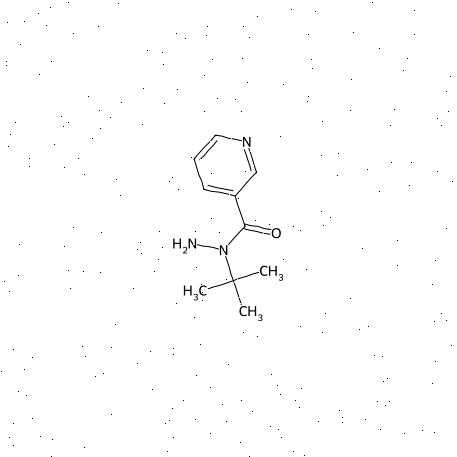 CC(C)(C)N(N)C(=O)c1cccnc1